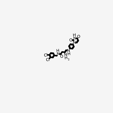 N/C(=C\Nc1ccc(-n2ccc(=O)[nH]c2=O)cc1)CC(=O)NCc1ccc(Cl)c(Cl)c1